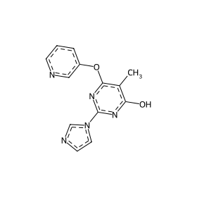 Cc1c(O)nc(-n2ccnc2)nc1Oc1cccnc1